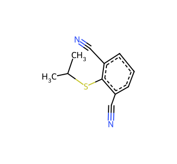 CC(C)Sc1c(C#N)cccc1C#N